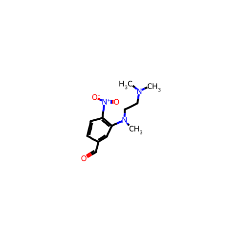 CN(C)CCN(C)c1cc(C=O)ccc1[N+](=O)[O-]